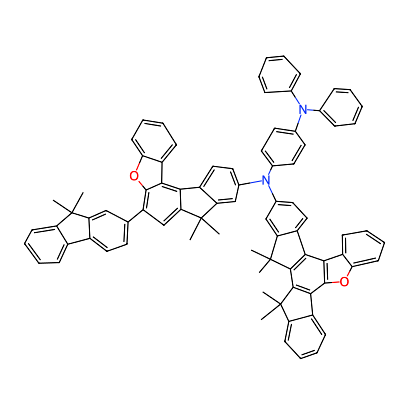 CC1(C)c2ccccc2-c2ccc(-c3cc4c(c5c3oc3ccccc35)-c3ccc(N(c5ccc(N(c6ccccc6)c6ccccc6)cc5)c5ccc6c(c5)C(C)(C)c5c7c(c8oc9ccccc9c8c5-6)-c5ccccc5C7(C)C)cc3C4(C)C)cc21